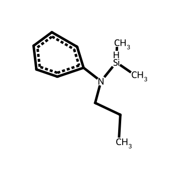 CCCN(c1ccccc1)[SiH](C)C